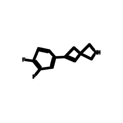 Fc1ccc(C2=CC3(CNC3)C2)cc1F